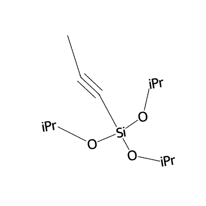 CC#C[Si](OC(C)C)(OC(C)C)OC(C)C